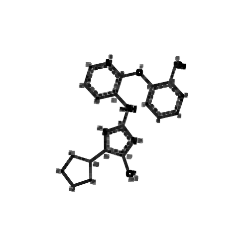 CC(C)(C)c1ccccc1Oc1ncccc1Nc1nc(C(F)(F)F)c(C2CCCC2)s1